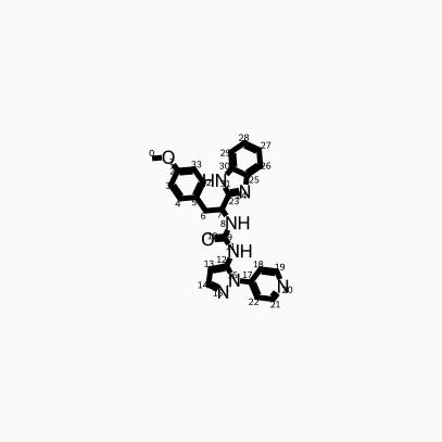 COc1ccc(CC(NC(=O)Nc2ccnn2-c2ccncc2)c2nc3ccccc3[nH]2)cc1